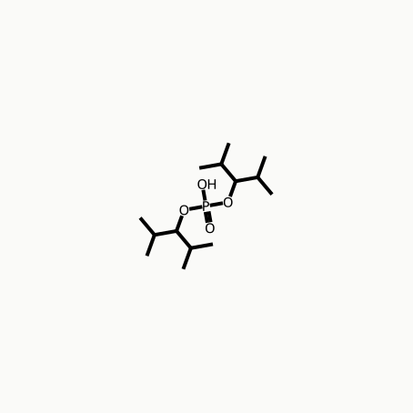 CC(C)C(OP(=O)(O)OC(C(C)C)C(C)C)C(C)C